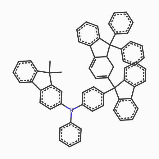 CC1(C)c2ccccc2-c2ccc(N(c3ccccc3)c3ccc(C4(C5=CC=C6c7ccccc7C(c7ccccc7)(c7ccccc7)C6C5)c5ccccc5-c5ccccc54)cc3)cc21